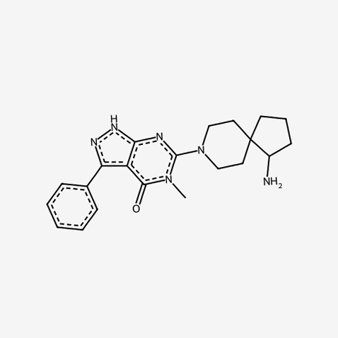 Cn1c(N2CCC3(CCCC3N)CC2)nc2[nH]nc(-c3ccccc3)c2c1=O